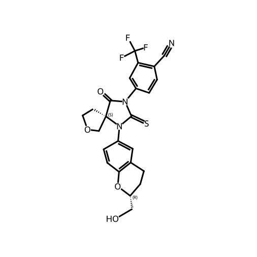 N#Cc1ccc(N2C(=O)[C@@]3(CCOC3)N(c3ccc4c(c3)CC[C@H](CO)O4)C2=S)cc1C(F)(F)F